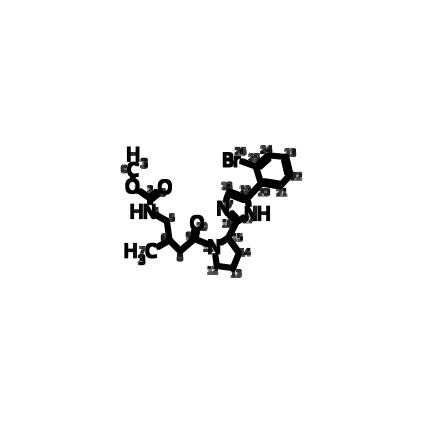 COC(=O)NCC(C)CC(=O)N1CCCC1c1ncc(-c2ccccc2Br)[nH]1